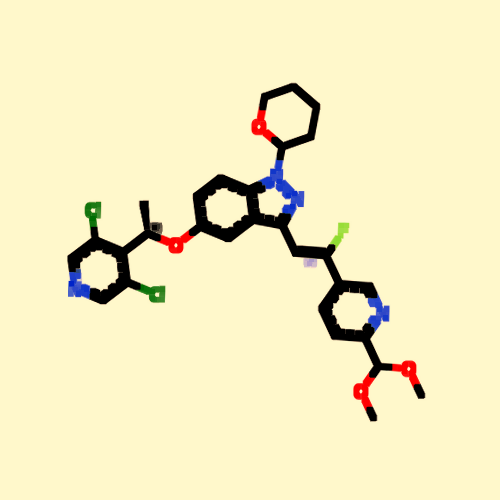 COC(OC)c1ccc(/C(F)=C/c2nn(C3CCCCO3)c3ccc(O[C@H](C)c4c(Cl)cncc4Cl)cc23)cn1